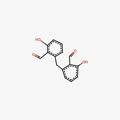 O=Cc1c(O)cccc1Cc1cccc(O)c1C=O